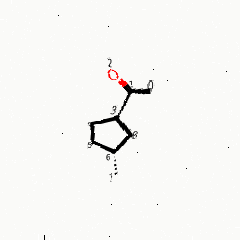 CC(=O)[C@@H]1CC[C@@H](C)C1